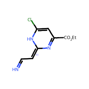 CCOC(=O)C1=N/C(=C/C=N)NC(Cl)=C1